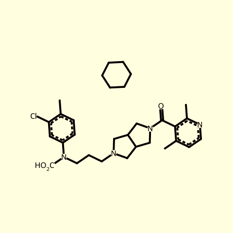 C1CCCCC1.Cc1ccc(N(CCCN2CC3CN(C(=O)c4c(C)ccnc4C)CC3C2)C(=O)O)cc1Cl